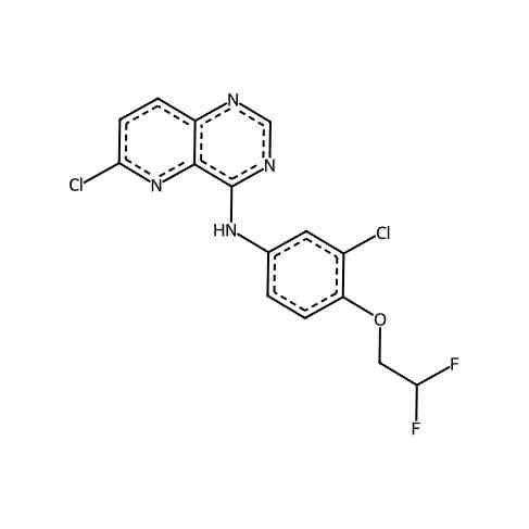 FC(F)COc1ccc(Nc2ncnc3ccc(Cl)nc23)cc1Cl